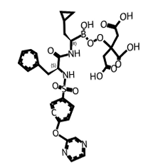 O=C(O)CC(CC(=O)O)(OOB(O)[C@H](CC1CC1)NC(=O)[C@H](Cc1ccccc1)NS(=O)(=O)c1ccc(Oc2cnccn2)cc1)C(=O)O